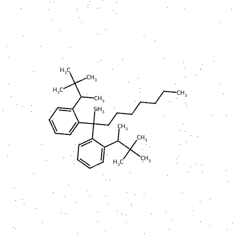 CCCCCCCC([SiH3])(c1ccccc1C(C)C(C)(C)C)c1ccccc1C(C)C(C)(C)C